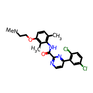 CNCCOc1ccc(C)c(NC(=O)c2nccc(-c3cc(Cl)ccc3Cl)n2)c1C